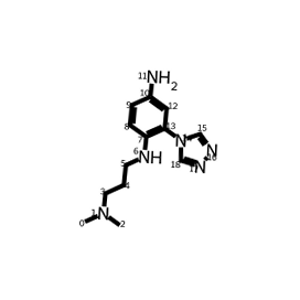 CN(C)CCCNc1ccc(N)cc1-n1cnnc1